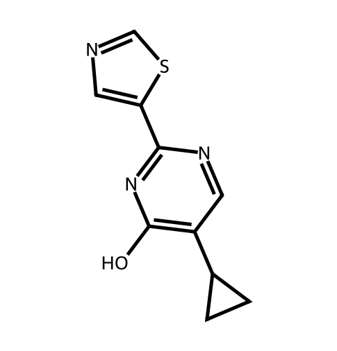 Oc1nc(-c2cncs2)ncc1C1CC1